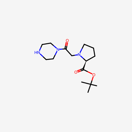 CC(C)(C)OC(=O)[C@@H]1CCCN1CC(=O)N1CCNCC1